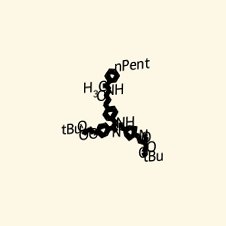 CCCCCc1ccc(C(C)NC(=O)/C=C/c2ccc(-c3[nH]c(-c4ccc(C5=NOC(C(=O)OC(C)(C)C)C5)cc4)nc3-c3ccc(OCC(=O)OC(C)(C)C)cc3)cc2)cc1